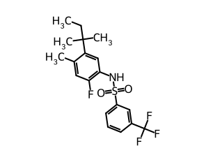 CCC(C)(C)c1cc(NS(=O)(=O)c2cccc(C(F)(F)F)c2)c(F)cc1C